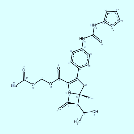 C[C@@H](O)[C@H]1C(=O)N2C(C(=O)OCOC(=O)C(C)(C)C)=C(c3ccc(NC(=O)Nc4cccs4)cc3)C[C@H]12